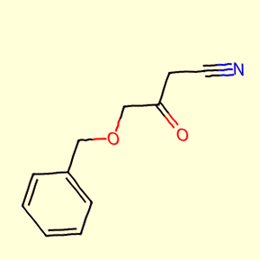 N#CCC(=O)COCc1ccccc1